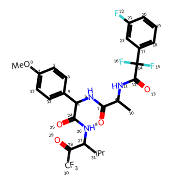 COc1ccc(C(NC(=O)C(C)NC(=O)C(F)(F)c2cccc(F)c2)C(=O)NC(C(=O)C(F)(F)F)C(C)C)cc1